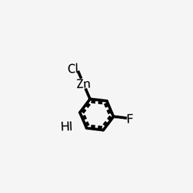 Fc1ccc[c]([Zn][Cl])c1.I